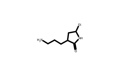 CCC1CC(CCCN)C(=O)N1